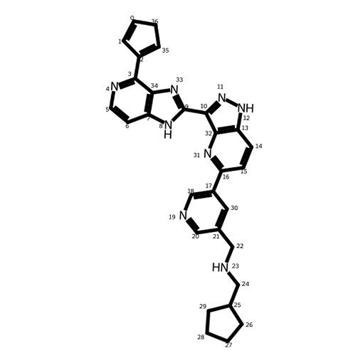 C1=CC(c2nccc3[nH]c(-c4n[nH]c5ccc(-c6cncc(CNCC7CCCC7)c6)nc45)nc23)=CC1